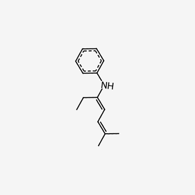 CC/C(=C\C=C(C)C)Nc1ccccc1